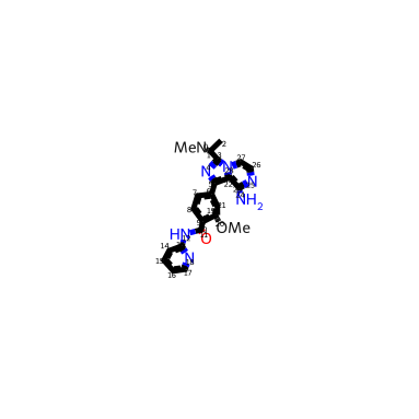 CNC(C)c1nc(-c2ccc(C(=O)Nc3ccccn3)c(OC)c2)c2c(N)nccn12